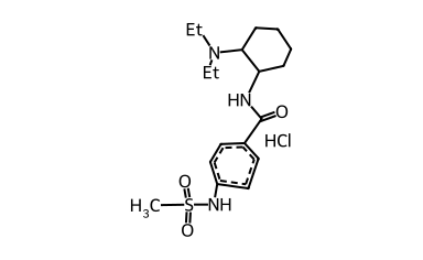 CCN(CC)C1CCCCC1NC(=O)c1ccc(NS(C)(=O)=O)cc1.Cl